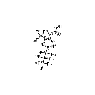 O=C(O)Oc1cnc(C(F)(F)C(F)(F)C(F)(F)F)nc1C(F)(F)F